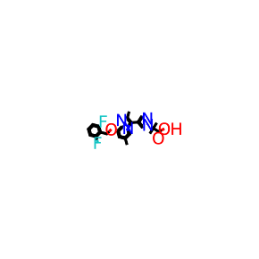 Cc1cc(OCc2c(F)cccc2F)c2nc(C)c(-c3cnn(C(C)(C)C(=O)O)c3)n2c1